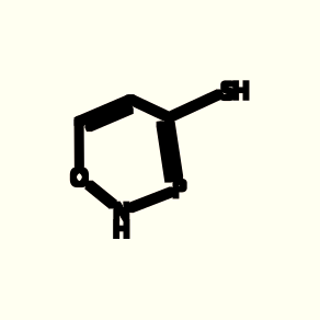 SC1=PNOC=C1